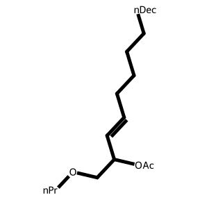 [CH2]CCOCC(C=CCCCCCCCCCCCCCC)OC(C)=O